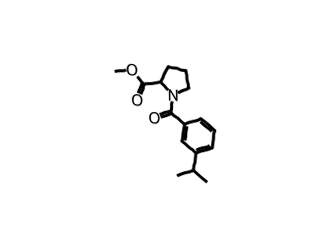 COC(=O)C1CCCN1C(=O)c1cccc(C(C)C)c1